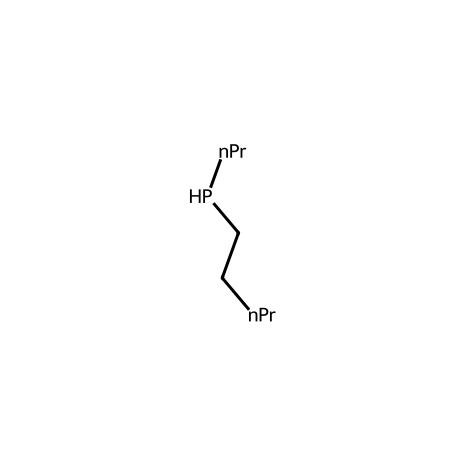 CCCCCPCCC